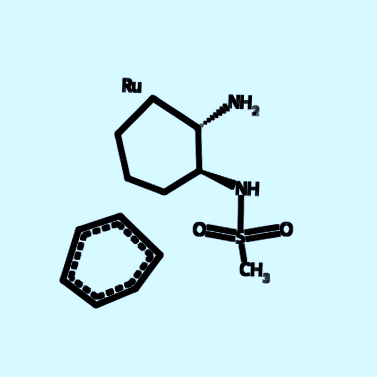 CS(=O)(=O)N[C@H]1CCCC[C@@H]1N.[Ru].c1ccccc1